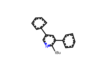 CC(C)(C)c1ncc(-c2ccccc2)cc1-c1ccccc1